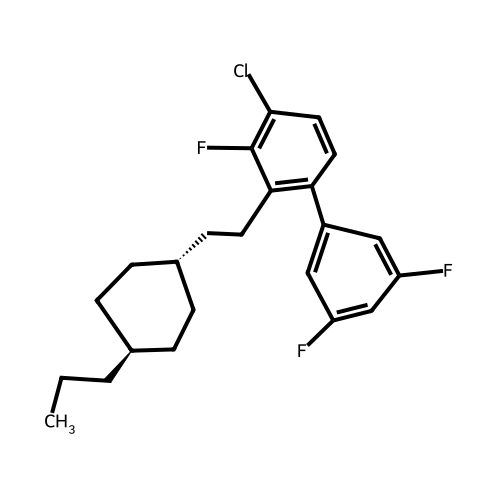 CCC[C@H]1CC[C@H](CCc2c(-c3cc(F)cc(F)c3)ccc(Cl)c2F)CC1